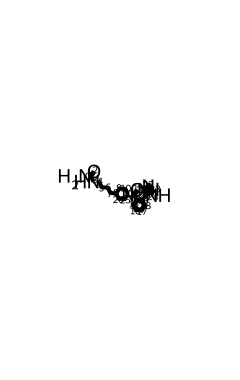 NC(=O)NCCCCC1CCN(C(=O)c2ccccc2-c2nnn[nH]2)CC1